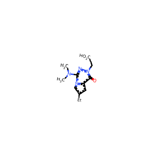 CCc1cc2c(=O)n(CC(=O)O)nc(N(C)C)n2c1